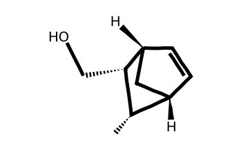 C[C@@H]1[C@H](CO)[C@@H]2C=C[C@H]1C2